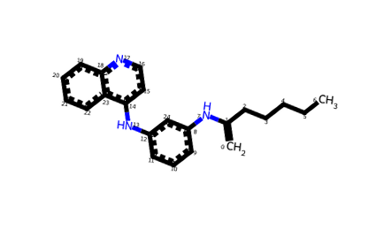 C=C(CCCCC)Nc1cccc(Nc2ccnc3ccccc23)c1